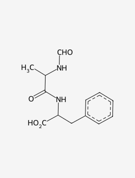 CC(NC=O)C(=O)NC(Cc1ccccc1)C(=O)O